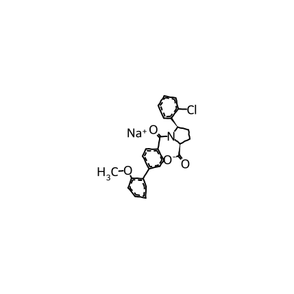 COc1ccccc1-c1ccc(C(=O)N2[C@@H](c3ccccc3Cl)CC[C@H]2C(=O)[O-])cc1.[Na+]